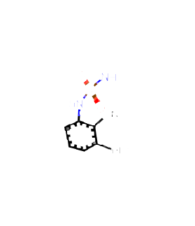 CCCc1cccc(NS(N)(=O)=O)c1C#N